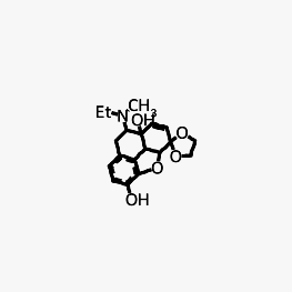 CCN(C)C1Cc2ccc(O)c3c2C2C(O3)C3(C=CC21O)OCCO3